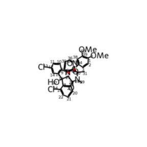 COc1ccc(S(=O)(=O)N2c3ccc(Cl)cc3C(O)(c3ccccc3Cl)C2C(=O)N(C)C(C)c2ccccn2)cc1OC